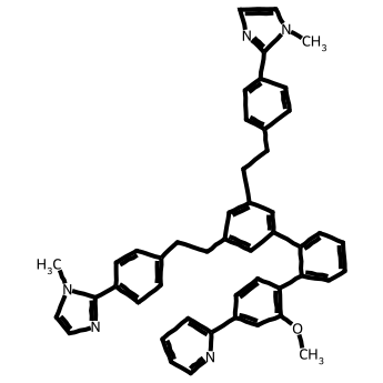 COc1cc(-c2ccccn2)ccc1-c1ccccc1-c1cc(CCc2ccc(-c3nccn3C)cc2)cc(CCc2ccc(-c3nccn3C)cc2)c1